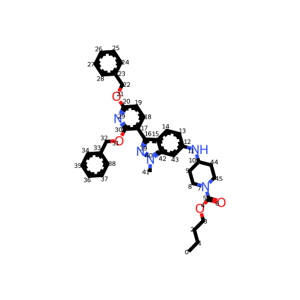 CCCCOC(=O)N1CCC(Nc2ccc3c(-c4ccc(OCc5ccccc5)nc4OCc4ccccc4)nn(C)c3c2)CC1